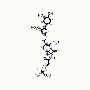 CC(C)(O/N=C/C(=O)N[C@@H]1C(=O)N2C(C(=O)O)=C(CSc3nc(C(=O)O)c(-c4ccc(O)c(O)c4)s3)CS[C@H]12)C(=O)O